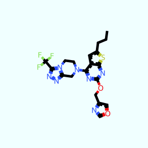 CCCc1cc2c(N3CCn4c(nnc4C(F)(F)F)C3)nc(OCc3cocn3)nc2s1